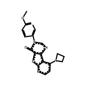 C=C(/C=C\C(=C/C)n1cnc2c(sc3nccc(N4CCC4)c32)c1=O)OC